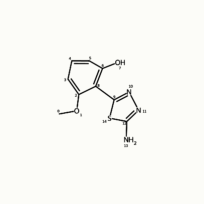 COc1cccc(O)c1-c1nnc(N)s1